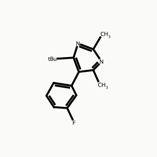 Cc1nc(C)c(-c2cccc(F)c2)c(C(C)(C)C)n1